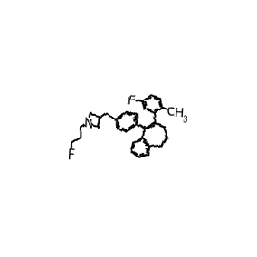 Cc1ccc(F)cc1C1=C(c2ccc(CC3CN(CCCF)C3)cc2)c2ccccc2CCC1